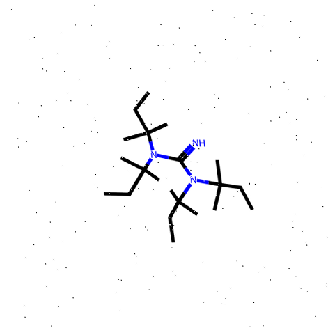 CCC(C)(C)N(C(=N)N(C(C)(C)CC)C(C)(C)CC)C(C)(C)CC